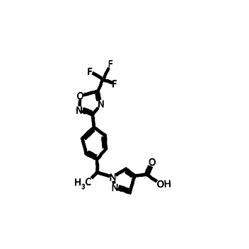 CC(c1ccc(-c2noc(C(F)(F)F)n2)cc1)n1cc(C(=O)O)cn1